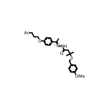 COc1ccc(CSC(C)(C)CC(=O)N/N=C(\C)c2ccc(OCCCC(C)=O)cc2)cc1